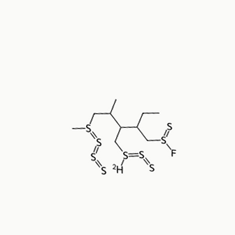 [2H]S(CC(C(C)CS(C)=S=S=S)C(CC)CS(F)=S)=S=S